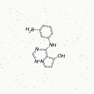 Bc1cccc(Nc2ncnn3ccc(O)c23)c1